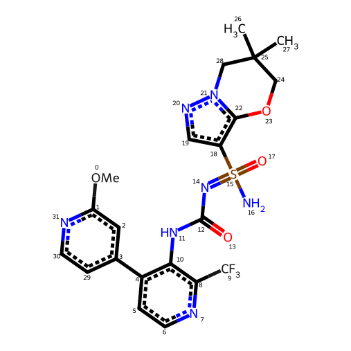 COc1cc(-c2ccnc(C(F)(F)F)c2NC(=O)N=S(N)(=O)c2cnn3c2OCC(C)(C)C3)ccn1